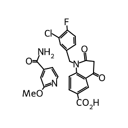 COc1cc(C(N)=O)ccn1.O=C(O)c1ccc2c(c1)C(=O)CC(=O)N2Cc1ccc(F)c(Cl)c1